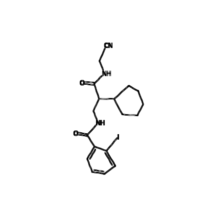 N#CCNC(=O)C(CNC(=O)c1ccccc1I)C1CCCCC1